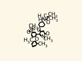 CCS(=O)(=O)c1ccc(Oc2c(C)cccc2C)c(-c2cn(C)c(=O)cc2O[C@H]2CC[C@H](NC(=O)C(C)(C)C)CC2)c1